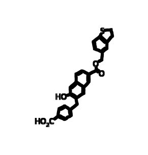 O=C(O)c1ccc(Cc2cc3cc(C(=O)OCc4ccc5c(c4)CCS5)ccc3cc2O)cc1